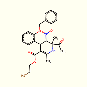 CC(=O)C1(C)NC(C)=C(C(=O)OCCS)C(c2ccccc2OCc2ccccc2)C1[N+](=O)[O-]